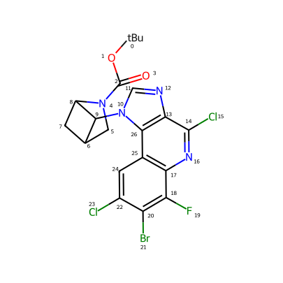 CC(C)(C)OC(=O)N1CC2CC1C2n1cnc2c(Cl)nc3c(F)c(Br)c(Cl)cc3c21